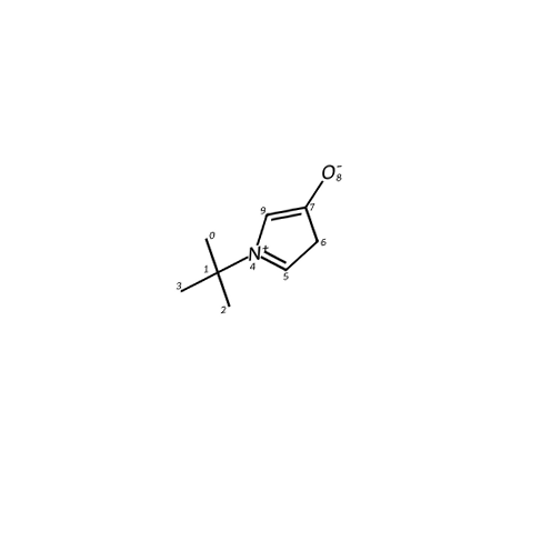 CC(C)(C)[N+]1=CCC([O-])=C1